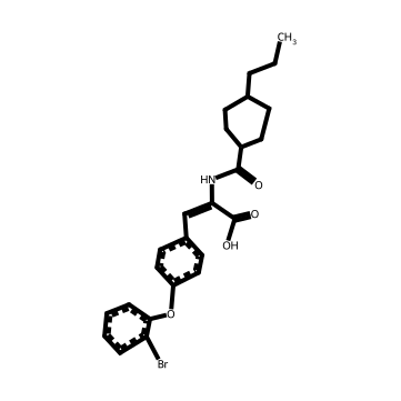 CCCC1CCC(C(=O)N/C(=C/c2ccc(Oc3ccccc3Br)cc2)C(=O)O)CC1